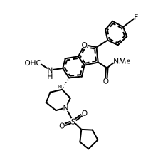 CNC(=O)c1c(-c2ccc(F)cc2)oc2cc(NC=O)c([C@H]3CCCN(S(=O)(=O)C4CCCC4)C3)cc12